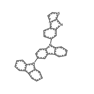 c1ccc2c(c1)c1ccccc1n2-c1ccc2c(c1)c1ccccc1n2-c1ccc2c(c1)nc1sccn12